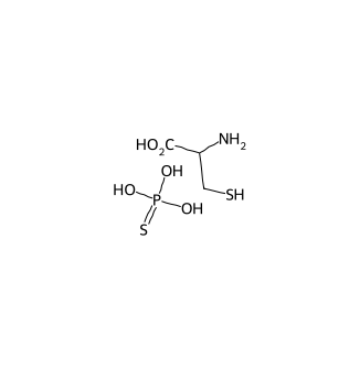 NC(CS)C(=O)O.OP(O)(O)=S